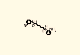 Nc1ccccc1NC(=O)CCCCCC(=O)Nc1cccc(Br)c1